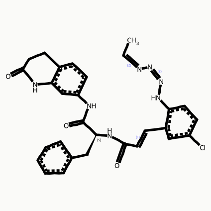 C/C=N\N=N/Nc1ccc(Cl)cc1/C=C/C(=O)N[C@@H](Cc1ccccc1)C(=O)Nc1ccc2c(c1)NC(=O)CC2